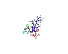 Cc1cc(-n2cc(F)cn2)c2cccc(OCc3c(Cl)cc(F)cc3[C@H](C)NC(=O)C3CCO3)c2n1